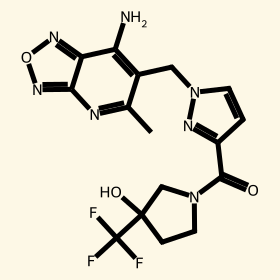 Cc1nc2nonc2c(N)c1Cn1ccc(C(=O)N2CCC(O)(C(F)(F)F)C2)n1